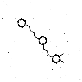 Cc1ccc(OCCc2cccc(OCCCc3ccccc3)c2)cc1F